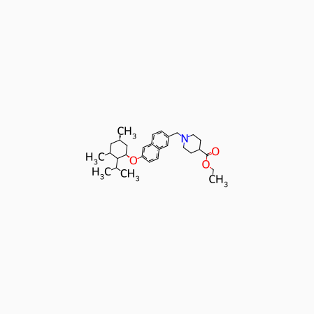 CCOC(=O)C1CCN(Cc2ccc3cc(O[C@@H]4C[C@H](C)CC(C)C4C(C)C)ccc3c2)CC1